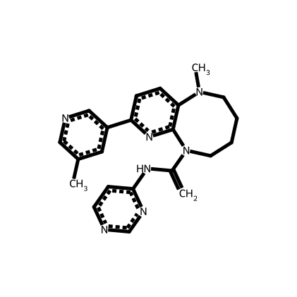 C=C(Nc1ccncn1)N1CCCCN(C)c2ccc(-c3cncc(C)c3)nc21